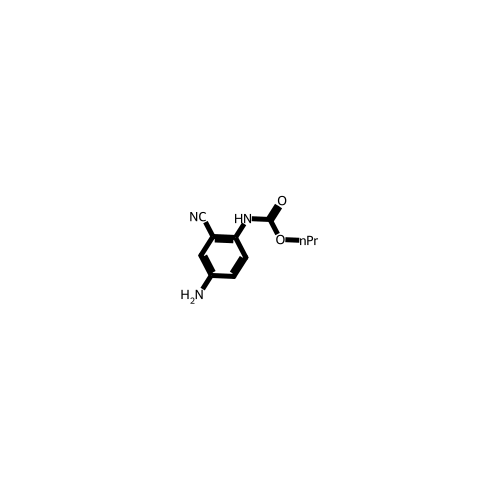 CCCOC(=O)Nc1ccc(N)cc1C#N